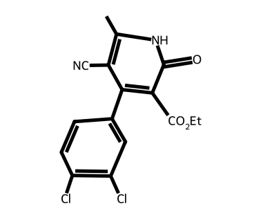 CCOC(=O)c1c(-c2ccc(Cl)c(Cl)c2)c(C#N)c(C)[nH]c1=O